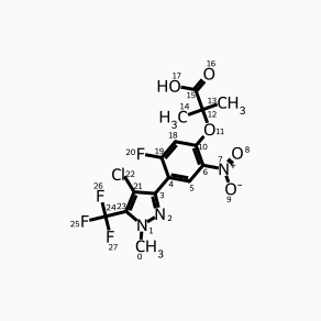 Cn1nc(-c2cc([N+](=O)[O-])c(OC(C)(C)C(=O)O)cc2F)c(Cl)c1C(F)(F)F